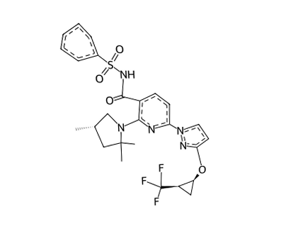 C[C@@H]1CN(c2nc(-n3ccc(O[C@H]4C[C@H]4C(F)(F)F)n3)ccc2C(=O)NS(=O)(=O)c2ccccc2)C(C)(C)C1